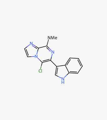 CNc1nc(-c2c[nH]c3ccccc23)c(Cl)n2ccnc12